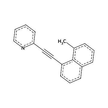 Cc1cccc2cccc(C#Cc3ccccn3)c12